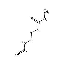 COC(=O)CCCOP=O